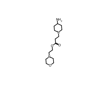 NC1CCN(CCC(=O)OCCN2CCOCC2)CC1